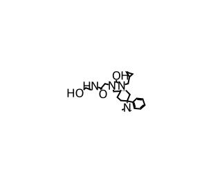 CN(C)[C@]1(c2ccccc2)CC[C@]2(CC1)CN(CC(=O)NCCO)C(O)N2CC1CC1